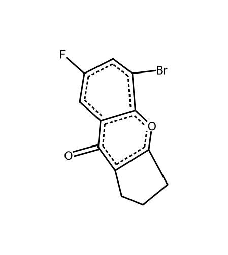 O=c1c2c(oc3c(Br)cc(F)cc13)CCC2